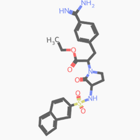 CCOC(=O)C(Cc1ccc(C(=N)N)cc1)N1CCC(NS(=O)(=O)c2ccc3ccccc3c2)C1=O